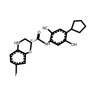 N#Cc1cc(C2CCCC2)c(O)cc1NC(=O)[C@H]1CNc2ccc(F)cc2O1